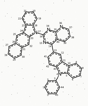 c1ccc(-n2c3ccccc3c3cc(-c4nc(-n5c6ccccc6c6cc7ccccc7cc65)nc5ncccc45)ccc32)cc1